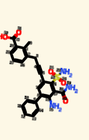 Cc1c(CC#Cc2cc(-c3ccccc3)c(N)c(C(N)=O)c2S(N)(=O)=O)cccc1C(=O)O